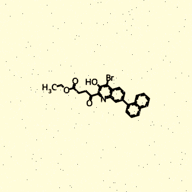 CCOC(=O)CCC(=O)c1nc2cc(-c3cccc4ccccc34)ccc2c(Br)c1O